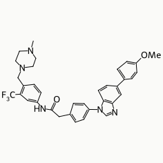 COc1ccc(-c2ccc3c(c2)ncn3-c2ccc(CC(=O)Nc3ccc(CN4CCN(C)CC4)c(C(F)(F)F)c3)cc2)cc1